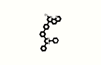 CCc1cc(-c2ccc(-c3cccc(-c4cc(-c5ccccc5)nc(C5=CCCC=C5)n4)c3)cc2)c2ccc3cccnc3c2n1